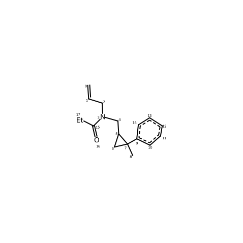 C=CCN(CC1CC1(C)c1ccccc1)C(=O)CC